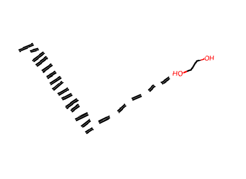 C=C.C=C.C=C.C=C.C=C.C=C.C=C.C=C.C=C.C=C.C=C.C=C.C=C.C=C.C=C.C=C.C=C.C=C.C=C.C=C.OCCO